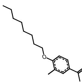 CCCCCCCCOc1ccc(C(C)=O)cc1C